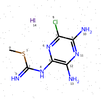 CSC(=N)Nc1nc(Cl)c(N)nc1N.I